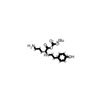 CC(C)(C)OC(=O)OC(=O)[C@H](CCCN)NCCc1ccc(O)cc1